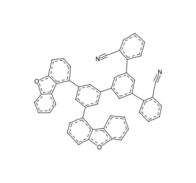 N#Cc1ccccc1-c1cc(-c2cc(-c3cccc4oc5ccccc5c34)cc(-c3cccc4oc5ccccc5c34)c2)cc(-c2ccccc2C#N)c1